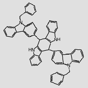 c1ccc(Cn2c3ccccc3c3cc(C4c5[nH]c6ccccc6c5C(c5ccc6c(c5)c5ccccc5n6Cc5ccccc5)c5[nH]c6ccccc6c54)ccc32)cc1